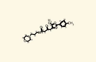 Cc1ccc(-c2nc(CC(=O)CC(=O)NCCCN3CCOCC3)c(C)o2)cc1